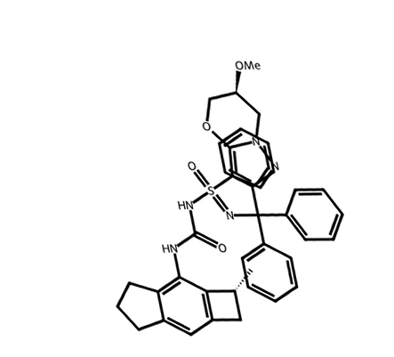 CO[C@@H]1COc2c(S(=O)(=NC(c3ccccc3)(c3ccccc3)c3ccccc3)NC(=O)Nc3c4c(cc5c3[C@H](C)C5)CCC4)cnn2C1